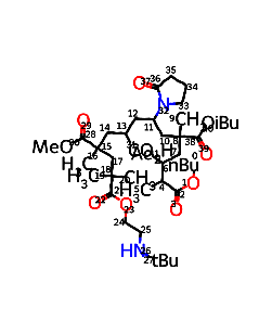 CCCCOC(=O)C(C)C(CC(C)(CC(CC(CC(C)(CC(C)(C)C(=O)OCCNC(C)(C)C)C(=O)OC)C(=O)O)N1CCCC1=O)C(=O)OCC(C)C)C(C)=O